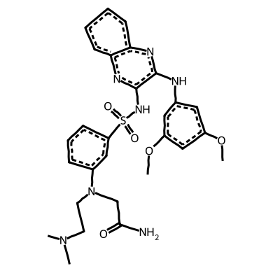 COc1cc(Nc2nc3ccccc3nc2NS(=O)(=O)c2cccc(N(CCN(C)C)CC(N)=O)c2)cc(OC)c1